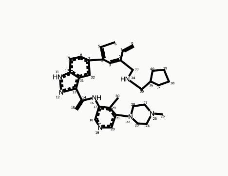 C=C/C(=C\C(=C/C)c1ccc2[nH]nc(C(=C)Nc3cncc(N4CCN(C)CC4)c3C)c2c1)CNCC1CCCC1